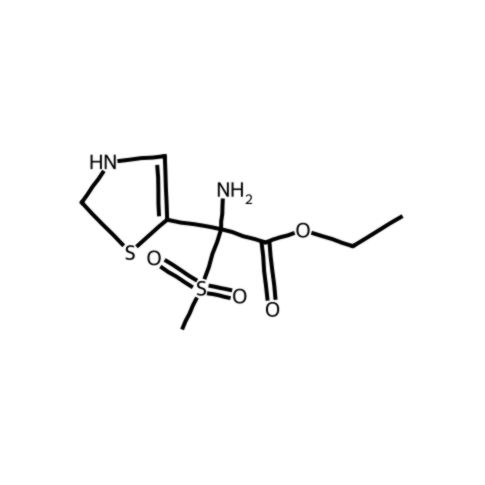 CCOC(=O)C(N)(C1=CNCS1)S(C)(=O)=O